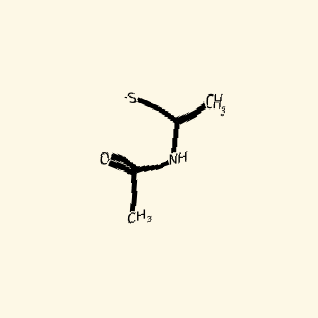 CC(=O)NC(C)[S]